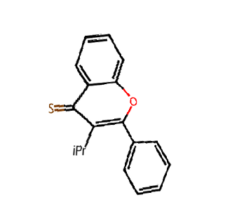 CC(C)c1c(-c2ccccc2)oc2ccccc2c1=S